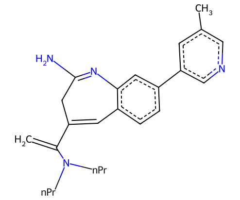 C=C(C1=Cc2ccc(-c3cncc(C)c3)cc2N=C(N)C1)N(CCC)CCC